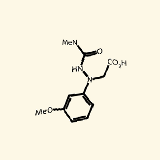 CNC(=O)NN(CC(=O)O)c1cccc(OC)c1